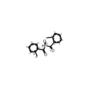 Cc1ccccc1C(=O)[PH](=O)C(=O)c1ccccc1C